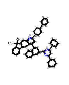 CC1(C)c2ccccc2-c2cc3c(-c4cc(-c5nc(-c6ccccc6)cc(-c6ccccc6)n5)cc5ccccc45)cc(C4=CC=C(c5ccccc5)CC4)nc3cc21